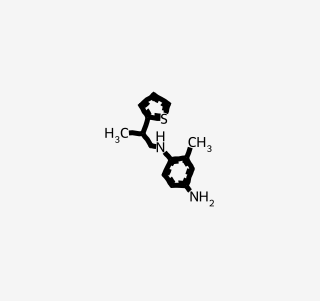 Cc1cc(N)ccc1NCC(C)c1cccs1